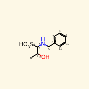 CC(O)C(NCc1ccccc1)S(=O)(=O)O